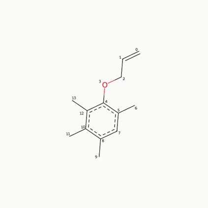 C=CCOc1c(C)cc(C)c(C)c1C